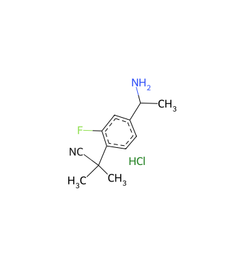 CC(N)c1ccc(C(C)(C)C#N)c(F)c1.Cl